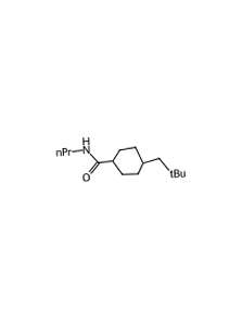 CCCNC(=O)C1CCC(CC(C)(C)C)CC1